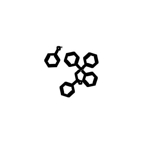 O=C(C[P+](c1ccccc1)(c1ccccc1)c1ccccc1)c1ccccc1.[O-]c1ccccc1